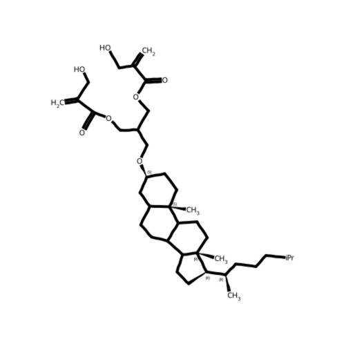 C=C(CO)C(=O)OCC(COC(=O)C(=C)CO)CO[C@H]1CC[C@@]2(C)C(CCC3C2CC[C@@]2(C)C3CC[C@@H]2[C@H](C)CCCC(C)C)C1